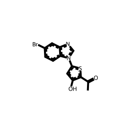 CC(=O)c1sc(-n2cnc3cc(Br)ccc32)cc1O